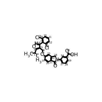 CC(C)c1onc(-c2c(Cl)cccc2Cl)c1COc1ccc2c(c1)CN(c1cccc(C(=O)O)c1)C2=O